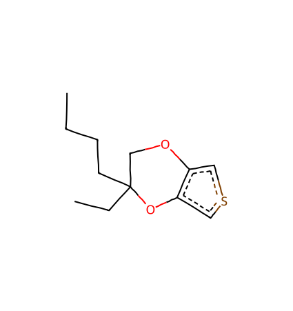 CCCCC1(CC)COc2cscc2O1